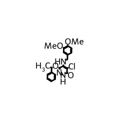 COc1ccc(CNc2c(OC(C)c3ccccc3)n[nH]c(=O)c2Cl)cc1OC